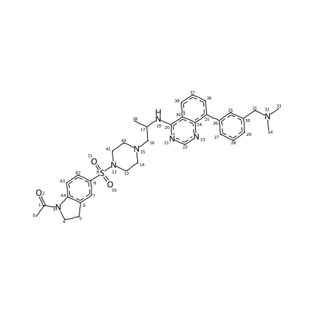 CC(=O)N1CCc2cc(S(=O)(=O)N3CCN(CC(C)Nc4ncnc5c(-c6cccc(CN(C)C)c6)cccc45)CC3)ccc21